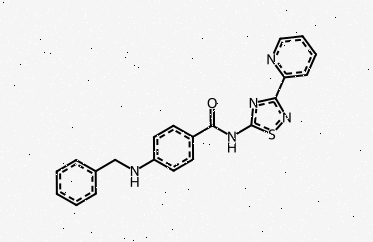 O=C(Nc1nc(-c2ccccn2)ns1)c1ccc(NCc2ccccc2)cc1